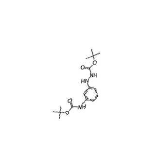 CC(C)(C)OC(=O)NNc1cccc(NC(=O)OC(C)(C)C)c1